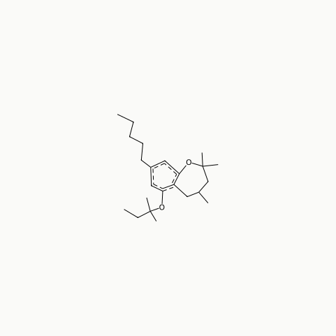 CCCCCc1cc(OC(C)(C)CC)c2c(c1)OC(C)(C)CC(C)C2